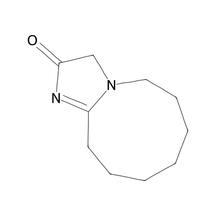 O=C1CN2CCCCCCCC2=N1